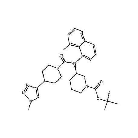 Cc1cccc2ccnc(N(C(=O)N3CCC(c4cn(C)nn4)CC3)[C@@H]3CCCN(C(=O)OC(C)(C)C)C3)c12